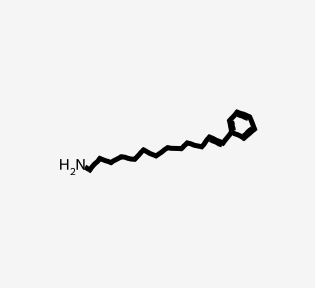 NCCCCCCCCCCCC=Cc1ccccc1